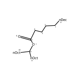 CCCCCCCCCCCCCCC(=O)OC(CCCCCCCC)CCCCCCCC